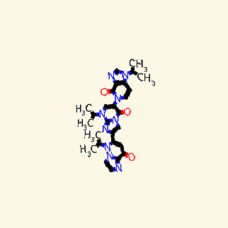 CC(C)n1cnc2c(=O)n(-c3cn(C(C)C)c4nc(-c5cc(=O)c6nccn6n5C(C)C)cn4c3=O)ccc21